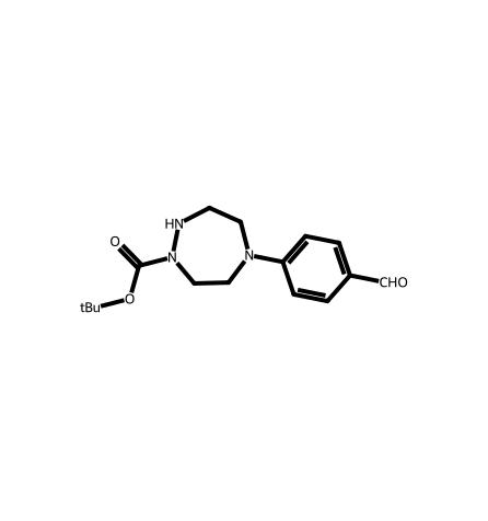 CC(C)(C)OC(=O)N1CCN(c2ccc(C=O)cc2)CCN1